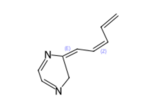 C=C/C=C\C=C1/CN=CC=N1